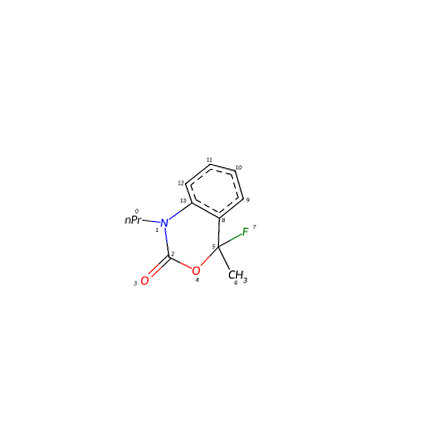 CCCN1C(=O)OC(C)(F)c2ccccc21